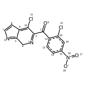 O=C(C1=NCC2=NC=CC2=C1Cl)c1ccc([N+](=O)[O-])cc1Cl